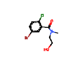 CN(CCO)C(=O)c1cc(Br)ccc1Cl